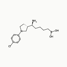 N[C@@H](CCCCB(O)O)[C@H]1CCN(c2ccc(Cl)cc2)C1